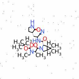 CCN(C(=O)OC(C)(C)C)C(C)C(=O)N1C[C@H]2[C@@H]([C@H]1C(=O)NC(C#N)C[C@@H]1CCNC1=O)C2(C)C